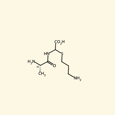 C[C@H](N)C(=O)NC(SCCCN)C(=O)O